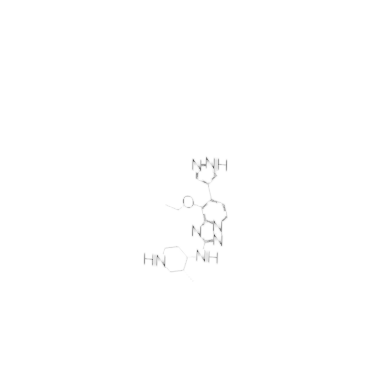 CCOc1c(-c2cn[nH]c2)ccn2nc(N[C@H]3CCNC[C@H]3C)nc12